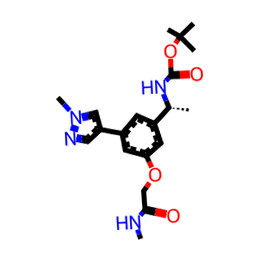 CNC(=O)COc1cc(-c2cnn(C)c2)cc([C@@H](C)NC(=O)OC(C)(C)C)c1